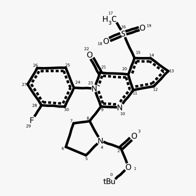 CC(C)(C)OC(=O)N1CCCC1c1nc2cccc(S(C)(=O)=O)c2c(=O)n1-c1cccc(F)c1